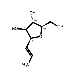 CC=C[C@@H]1O[C@H](CO)[C@@H](O)[C@@H]1O